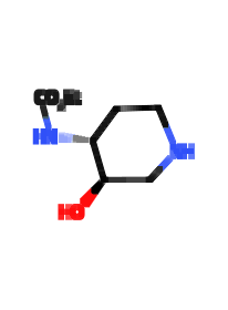 CCOC(=O)N[C@@H]1CCNC[C@H]1O